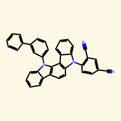 N#Cc1ccc(-n2c3ccccc3c3c2ccc2c4ccccc4n(-c4cccc(-c5ccccc5)c4)c23)c(C#N)c1